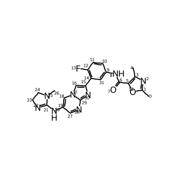 Cc1nc(C)c(C(=O)Nc2ccc(F)c(-c3cn4cc(NC5=NCCN5C)cnc4n3)c2)o1